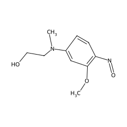 COc1cc(N(C)CCO)ccc1N=O